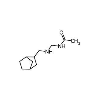 CC(=O)NCNCC1CC2CCC1C2